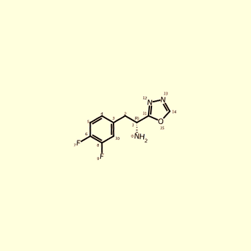 N[C@H](Cc1ccc(F)c(F)c1)c1nnco1